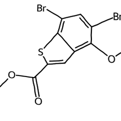 COC(=O)c1cc2c(OC)c(Br)cc(Br)c2s1